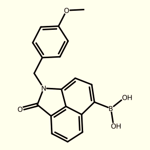 COc1ccc(CN2C(=O)c3cccc4c(B(O)O)ccc2c34)cc1